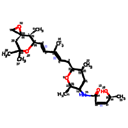 C[C@@H]1[C@@H](/C=C/C(=C/C[C@@H]2O[C@H](C)C(NC(=O)/C=C\[C@@H](C)O)C[C@@H]2C)C(F)(F)F)OC(C)(C)C[C@@]12CO2